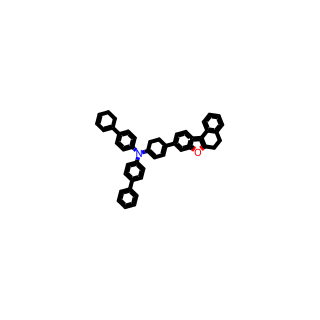 C1=CCCC(c2ccc(N(C3=CC=C(c4ccc5c6c(oc5c4)CCc4ccccc4-6)CC3)c3ccc(-c4ccccc4)cc3)cc2)=C1